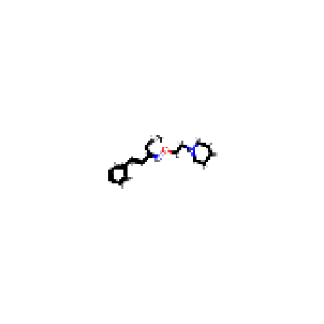 CC(C)CC(/C=C/c1ccccc1)=N\OCCN1CCCCC1